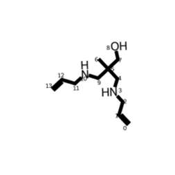 C=CCNCC(C)(CO)CNCC=C